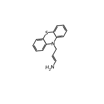 NC=CCN1c2ccccc2Sc2ccccc21